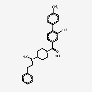 Cc1ccc(-c2ccc(C(=O)N3CCC(N(C)CCc4ccccc4)CC3)cc2O)cc1.Cl